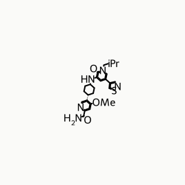 COc1cc(C(N)=O)ncc1[C@H]1CC[C@@H](Nc2cc(-c3cnsc3)cn(CC(C)C)c2=O)CC1